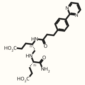 NC(=O)[C@H](CCC(=O)O)NC[C@H](CCC(=O)O)NC(=O)CCc1ccc(-c2ncccn2)cc1